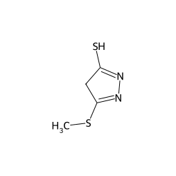 CSC1=NN=C(S)C1